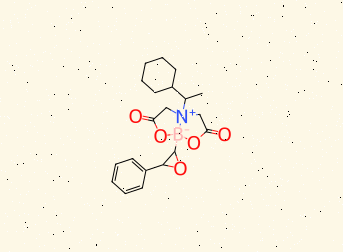 CC(C1CCCCC1)[N+]12CC(=O)O[B-]1(C1OC1c1ccccc1)OC(=O)C2